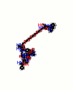 CCC(C)[C@@H]([C@@H](CC(=O)N1CCC[C@H]1[C@H](OC)[C@@H](C)C(=O)N[C@H](C)[C@@H](O)c1ccccc1)OC)N(C)C(=O)[C@@H](NC(=O)[C@H](C(C)C)N(C)C(=O)OCc1ccc(NC(=O)[C@H](CCCNC(N)=O)NC(=O)[C@@H](NC(=O)CCOCCOCCOCCOCCOCCOCCNC(=O)[C@H](CO)NC(=O)CCn2c(CN(C)NC)cc3ccccc32)C(C)C)cc1)C(C)C